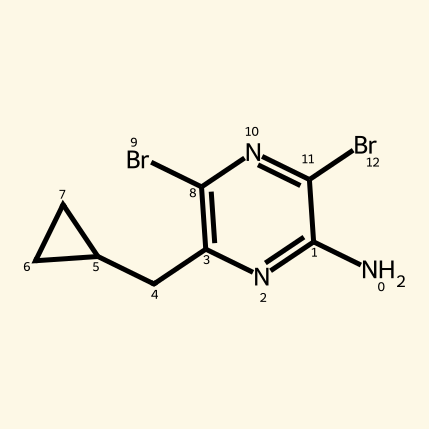 Nc1nc(CC2CC2)c(Br)nc1Br